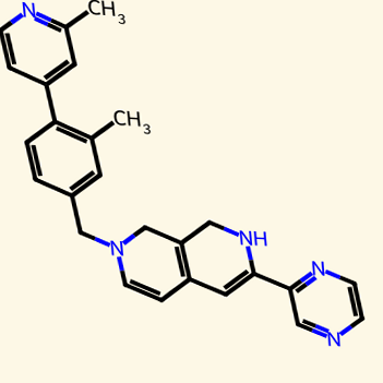 Cc1cc(-c2ccc(CN3C=CC4=C(CNC(c5cnccn5)=C4)C3)cc2C)ccn1